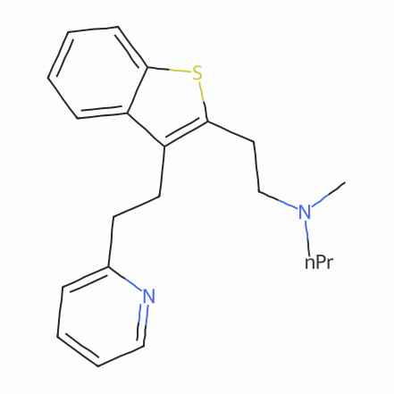 CCCN(C)CCc1sc2ccccc2c1CCc1ccccn1